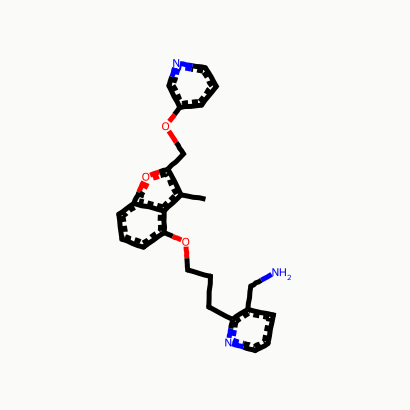 Cc1c(COc2cccnc2)oc2cccc(OCCCc3ncccc3CN)c12